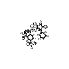 CN1C(=O)C(=NC(Nc2ccc(S(C)(=O)=O)cc2S(C)(=O)=O)C(Cl)(Cl)Cl)N(c2ccccc2)C1=O